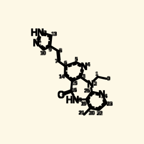 CCN1c2ncc(C=Cc3cn[nH]c3)cc2C(=O)Nc2c(C)ccnc21